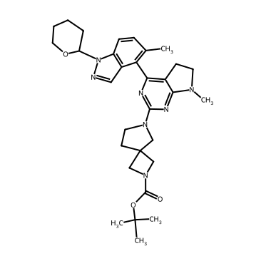 Cc1ccc2c(cnn2C2CCCCO2)c1-c1nc(N2CCC3(CN(C(=O)OC(C)(C)C)C3)C2)nc2c1CCN2C